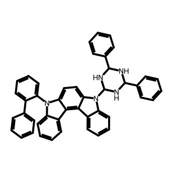 c1ccc(-c2ccccc2-n2c3ccccc3c3c4c5ccccc5n(C5NC(c6ccccc6)NC(c6ccccc6)N5)c4ccc32)cc1